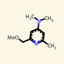 COCc1cc(N(C)C)cc(C)n1